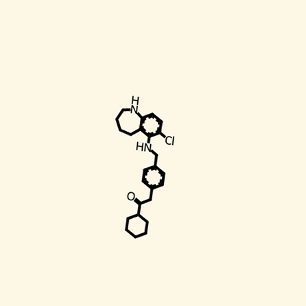 O=C(Cc1ccc(CNc2c(Cl)ccc3c2CCCCN3)cc1)C1CCCCC1